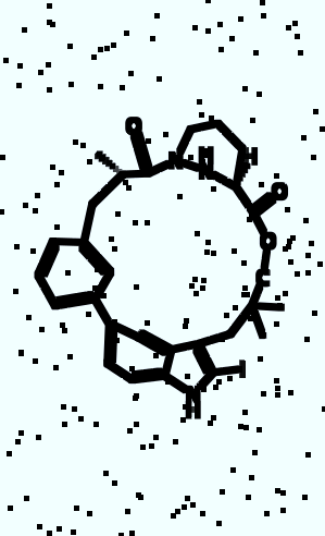 C[C@H]1Cc2cccc(c2)-c2ccc3[nH]c(I)c(c3c2)CC(C)(C)COC(=O)[C@@H]2CCCN(N2)C1=O